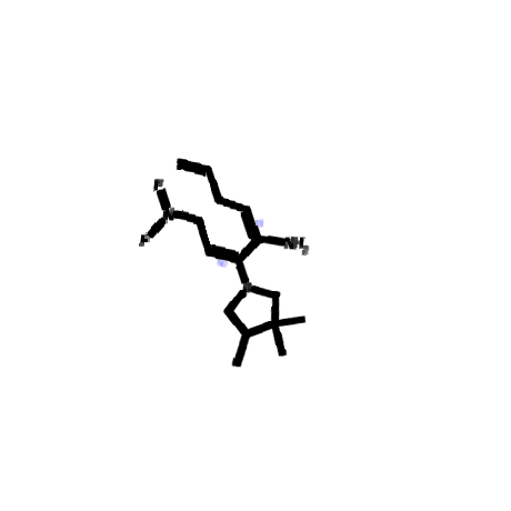 C=CC/C=C(N)\C(=C/CN(F)F)B1CC(C)C(C)(C)C1